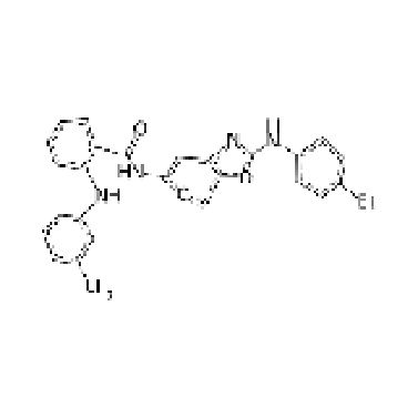 CCc1ccc(Nc2nc3cc(NC(=O)c4ccccc4Nc4cccc(C(F)(F)F)c4)ccc3o2)cc1